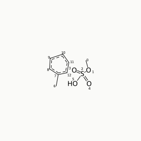 COS(=O)(=O)O.Cc1ccccc1